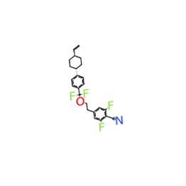 C=C[C@H]1CC[C@H](c2ccc(C(F)(F)OCCc3cc(F)c(C#N)c(F)c3)cc2)CC1